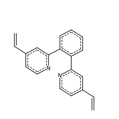 C=Cc1ccnc(-c2ccccc2-c2cc(C=C)ccn2)c1